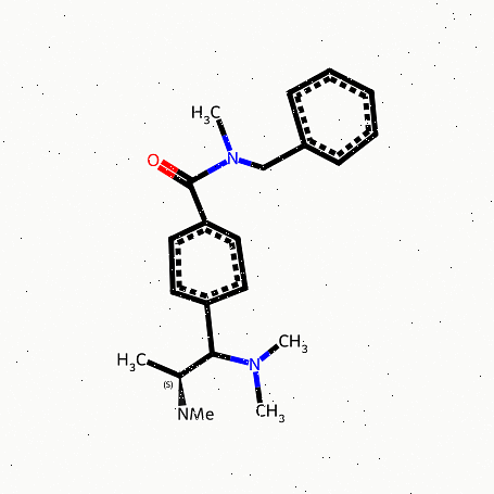 CN[C@@H](C)C(c1ccc(C(=O)N(C)Cc2ccccc2)cc1)N(C)C